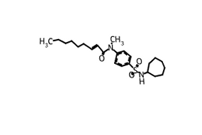 CCCCCCC=CC(=O)N(C)c1ccc(S(=O)(=O)NC2CCCCCC2)cc1